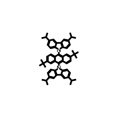 CC(C)c1ccc2c(c1)c1cc(C(C)C)ccc1n2-c1c2ccc(C(C)(C)C)cc2c(-n2c3ccc(C(C)C)cc3c3cc(C(C)C)ccc32)c2ccc(C(C)(C)C)cc12